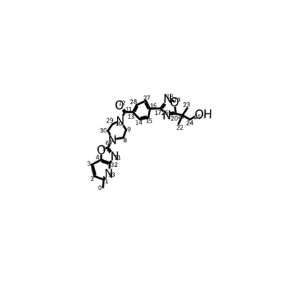 Cc1ccc2oc(N3CCN(C(=O)c4ccc(-c5noc(C(C)(C)CO)n5)cc4)CC3)nc2n1